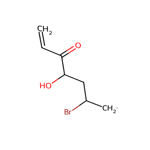 [CH2]C(Br)CC(O)C(=O)C=C